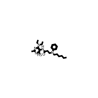 CCCCCCN(CCC(=O)Nc1c(S)nc(C)nc1N(CC)CC)c1ccccc1